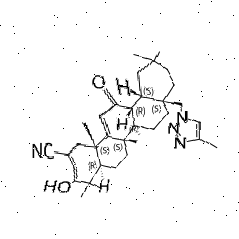 Cc1cn(C[C@]23CCC(C)(C)C[C@H]2[C@H]2C(=O)C=C4[C@@]5(C)CC(C#N)=C(O)C(C)(C)[C@@H]5CC[C@@]4(C)[C@]2(C)CC3)nn1